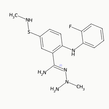 CNSc1ccc(Nc2ccccc2F)c(/C(N)=N/N(C)N)c1